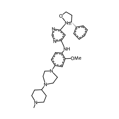 COc1cc(N2CCN(C3CCN(C)CC3)CC2)ccc1Nc1cc(N2OCC[C@@H]2c2ccccc2)ncn1